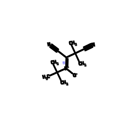 CC(C)(C#N)/C(C#N)=[N+](\[O-])C(C)(C)C